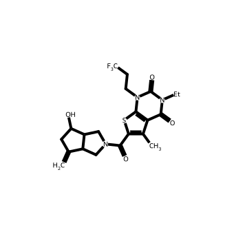 C=C1CC(O)C2CN(C(=O)c3sc4c(c3C)c(=O)n(CC)c(=O)n4CCC(F)(F)F)CC12